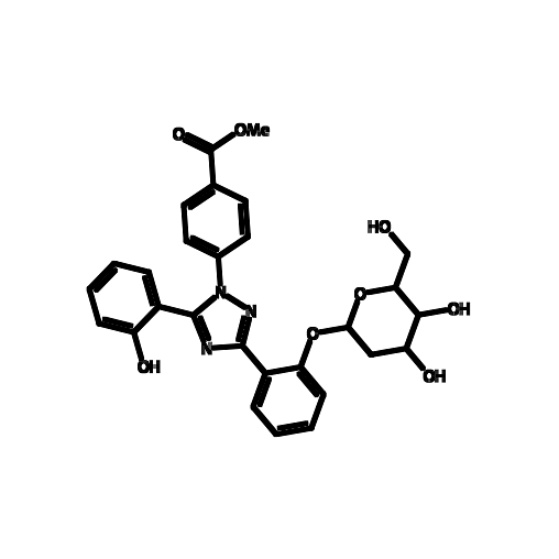 COC(=O)c1ccc(-n2nc(-c3ccccc3OC3CC(O)C(O)C(CO)O3)nc2-c2ccccc2O)cc1